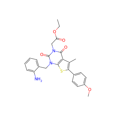 CCOC(=O)Cn1c(=O)c2c(C)c(-c3ccc(OC)cc3)sc2n(Cc2ccccc2N)c1=O